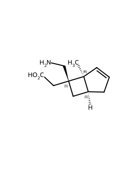 C[C@]12C=CC[C@H]1C[C@]2(CN)CC(=O)O